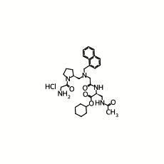 CC(=O)NC[C@H](NC(=O)CN(Cc1cccc2ccccc12)C[C@@H]1CCCN1C(=O)CN)C(=O)OC1CCCCC1.Cl